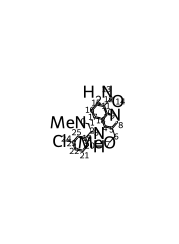 CNC[C@@H](Nc1c(COC)cnc2c(C(N)=O)cccc12)c1cccc(Cl)c1